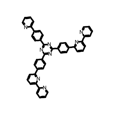 c1ccc(-c2ccc(-c3nc(-c4ccc(-c5cccc(-c6ccccn6)n5)cc4)nc(-c4ccc(-c5cccc(-c6ccccn6)n5)cc4)n3)cc2)nc1